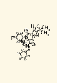 CC(C)(C)c1cc2n(n1)CC(C)(C(=O)NCc1ccccc1)N(c1ccc(F)cc1F)C2=O